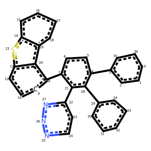 c1ccc(-c2ccc(-c3cccc4sc5ccccc5c34)c(-c3ccnnn3)c2-c2ccccc2)cc1